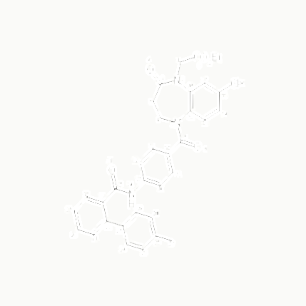 CCOC(=O)CN1C(=O)CCN(C(=O)c2ccc(NC(=O)c3ccccc3-c3ccc(C)cc3)cc2)c2ccc(Cl)cc21